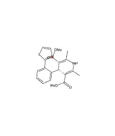 COC(=O)C1=C(C)NC(C)=C(C(=O)OC)C1c1ccccc1-c1nccs1